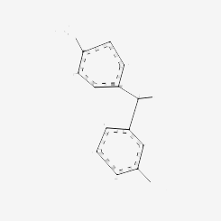 CC(=O)Nc1ccc(C(O)c2cccc(C)c2)cc1